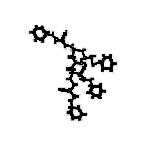 O=C(N[C@H](CCC(=O)OCc1ccccc1)COOCc1ccccc1)N[C@H](CCC(=O)OCc1ccccc1)C(=O)OCc1ccccc1